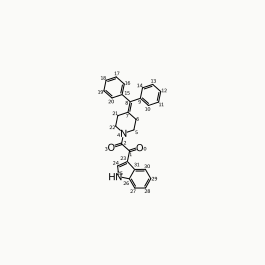 O=C(C(=O)N1CCC(=C(c2ccccc2)c2ccccc2)CC1)c1c[nH]c2ccccc12